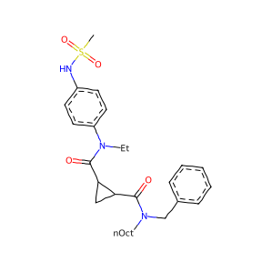 CCCCCCCCN(Cc1ccccc1)C(=O)C1CC1C(=O)N(CC)c1ccc(NS(C)(=O)=O)cc1